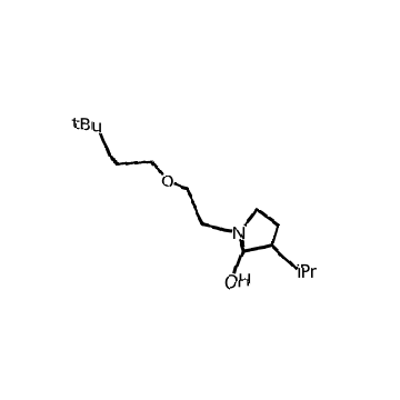 CC(C)C1CCN(CCOCCC(C)(C)C)C1O